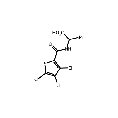 CC(C)C(NC(=O)c1sc(Cl)c(Cl)c1Cl)C(=O)O